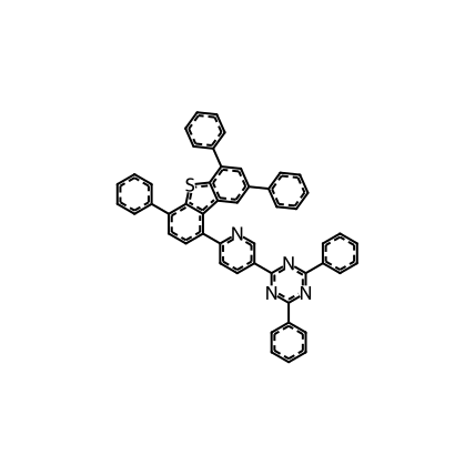 c1ccc(-c2cc(-c3ccccc3)c3sc4c(-c5ccccc5)ccc(-c5ccc(-c6nc(-c7ccccc7)nc(-c7ccccc7)n6)cn5)c4c3c2)cc1